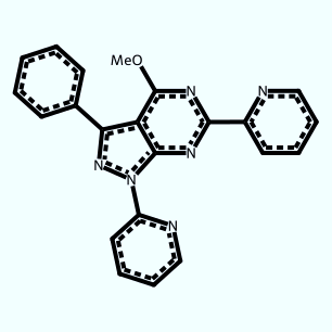 COc1nc(-c2ccccn2)nc2c1c(-c1ccccc1)nn2-c1ccccn1